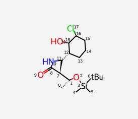 C[C@@H](O[Si](C)(C)C(C)(C)C)[C@H]1C(=O)NC1[C@H]1CCC[C@H](Cl)[C@@H]1O